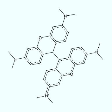 CN(C)c1ccc2c(c1)Oc1cc(N(C)C)ccc1C2c1c2ccc(=[N+](C)C)cc-2oc2cc(N(C)C)ccc12